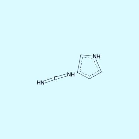 N=C=N.c1cc[nH]c1